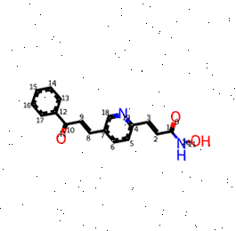 O=C(/C=C/c1ccc(/C=C/C(=O)c2ccccc2)cn1)NO